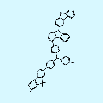 Cc1ccc(N(c2ccc(-c3ccc4c(c3)C(C)(C)c3cc(C)ccc3-4)cc2)c2ccc(-c3cccc4c3c3ccccc3n4-c3ccc4oc5ccccc5c4c3)cc2)cc1